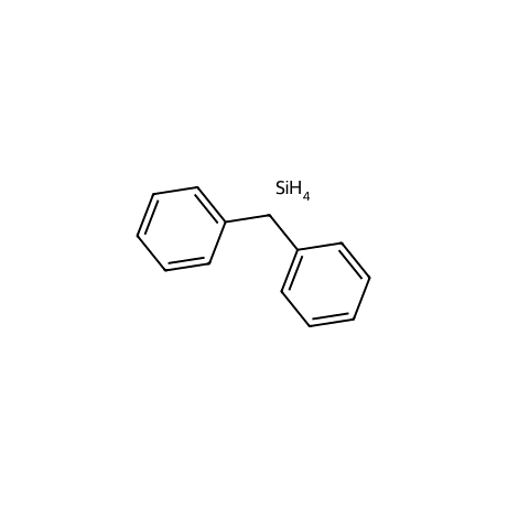 [SiH4].c1ccc(Cc2ccccc2)cc1